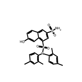 Cc1ccc(N(c2ccc(C)cc2C)S(=O)(=O)c2cc(S(N)(=O)=O)cc3ccc(O)cc23)c(C)c1